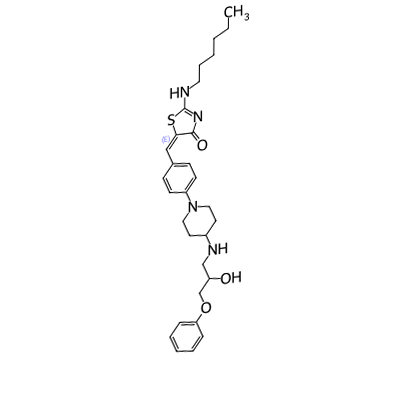 CCCCCCNC1=NC(=O)/C(=C\c2ccc(N3CCC(NCC(O)COc4ccccc4)CC3)cc2)S1